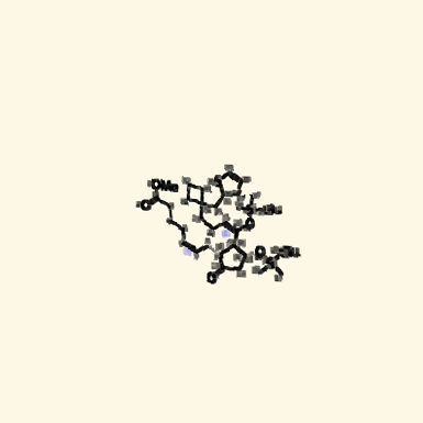 COC(=O)CCC/C=C\C[C@H]1C(=O)C[C@@H](O[Si](C)(C)C(C)(C)C)[C@@H]1/C(=C\CCC1(Cc2cccs2)CCC1)O[Si](C)(C)C(C)(C)C